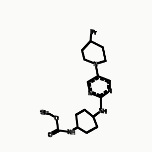 CC(C)C1CCN(c2cnc(NC3CCC(NC(=O)OC(C)(C)C)CC3)nc2)CC1